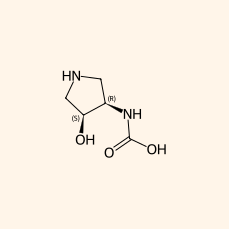 O=C(O)N[C@@H]1CNC[C@@H]1O